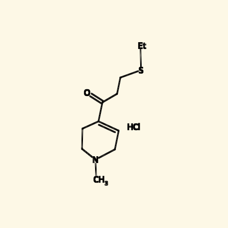 CCSCCC(=O)C1=CCN(C)CC1.Cl